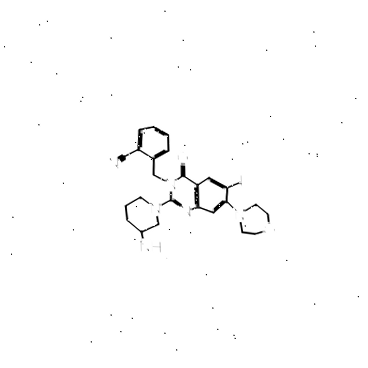 N#Cc1ccccc1Cn1c(N2CCCC(N)C2)nc2cc(N3CCOCC3)c(F)cc2c1=O